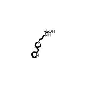 O=C(O)NCCCN1CCC(F)(Cc2ccccn2)CC1